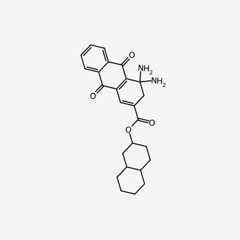 NC1(N)CC(C(=O)OC2CCC3CCCCC3C2)=CC2=C1C(=O)c1ccccc1C2=O